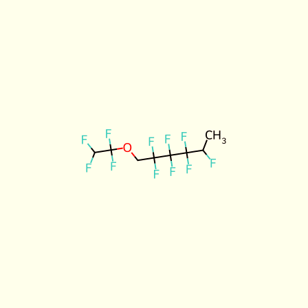 CC(F)C(F)(F)C(F)(F)C(F)(F)COC(F)(F)C(F)F